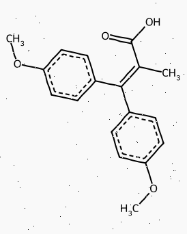 COc1ccc(C(=C(C)C(=O)O)c2ccc(OC)cc2)cc1